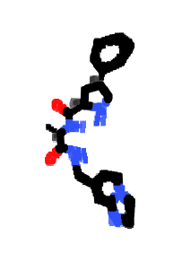 C[C@H](NC(=O)[C@H]1C[C@H](c2ccccc2)CN1)C(=O)NCc1ccn2ccnc2c1